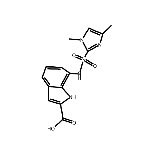 Cc1cn(C)c(S(=O)(=O)Nc2cccc3cc(C(=O)O)[nH]c23)n1